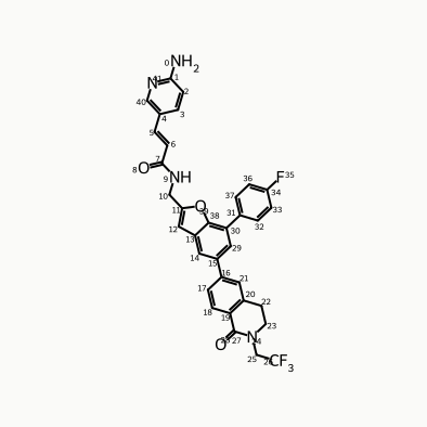 Nc1ccc(/C=C/C(=O)NCc2cc3cc(-c4ccc5c(c4)CCN(CC(F)(F)F)C5=O)cc(-c4ccc(F)cc4)c3o2)cn1